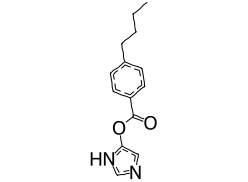 CCCCc1ccc(C(=O)Oc2cnc[nH]2)cc1